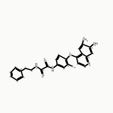 Cc1cc2c(Oc3ccc(NC(=O)C(=O)NCCc4ccccc4)cc3F)ccnc2cc1O